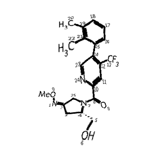 CO/N=C1/C[C@@H](CO)N(C(=O)c2cc(C(F)(F)F)c(-c3cccc(C)c3C)cn2)C1